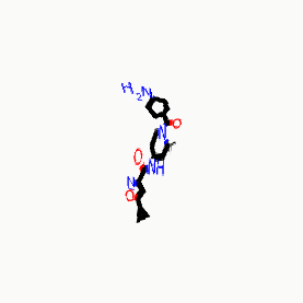 C[C@@H]1CC(NC(=O)c2cc(C3CC3)on2)CCN1C(=O)C1CCC(N)CC1